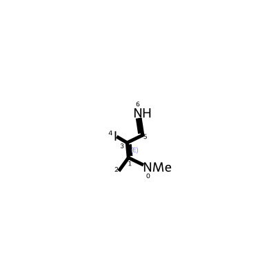 CN/C(C)=C(/I)C=N